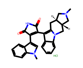 CN1C[C@@H]2Cn3c(c(C4=C(c5cn(C)c6ccccc56)C(=O)NC4=O)c4ccccc43)C[C@H]2C1.Cl